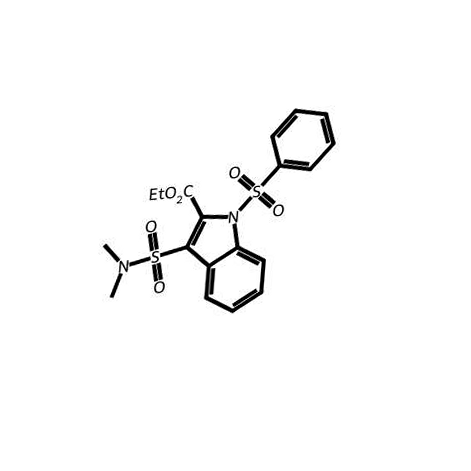 CCOC(=O)c1c(S(=O)(=O)N(C)C)c2ccccc2n1S(=O)(=O)c1ccccc1